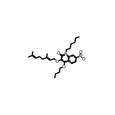 CCCCCCn1c(=O)c(OC/C=C(\C)CCC=C(C)C)c(OCCCC)c2ccc([N+](=O)[O-])cc21